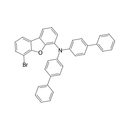 Brc1cccc2c1oc1c(N(c3ccc(-c4ccccc4)cc3)c3ccc(-c4ccccc4)cc3)cccc12